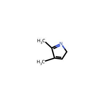 CC1=CCN=C1C